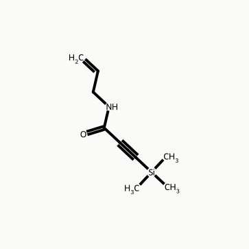 C=CCNC(=O)C#C[Si](C)(C)C